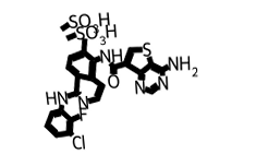 CS(=O)(=O)O.CS(=O)(=O)O.Cc1ccc2c(Nc3cccc(Cl)c3F)nccc2c1NC(=O)c1csc2c(N)ncnc12